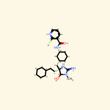 CN1C(=N)N[C@](CCC2CCCCC2)(C[C@H]2CCC[C@@H](NC(=O)c3cccnc3F)C2)C1O